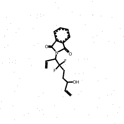 C=CC(O)CCC(F)(F)C(C=C)N1C(=O)c2ccccc2C1=O